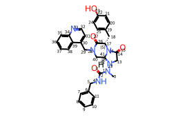 CN(C(=O)NCc1ccccc1)N1CC(=O)N2[C@@H](Cc3ccc(O)cc3)C(=O)N(Cc3ccnc4ccccc34)C[C@@H]21